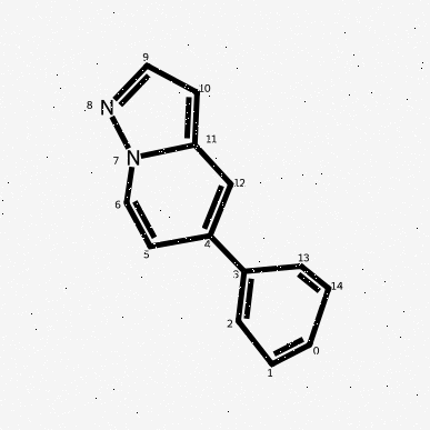 c1ccc(-c2ccn3nccc3c2)cc1